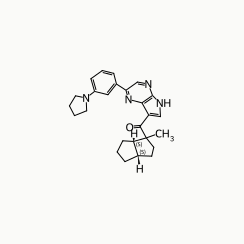 CC1(C(=O)c2c[nH]c3ncc(-c4cccc(N5CCCC5)c4)nc23)CC[C@@H]2CCC[C@@H]21